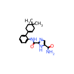 CC1(C)CC=C(c2ccccc2NC(=O)c2ncc(C(N)=O)[nH]2)CC1